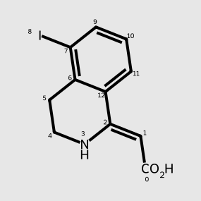 O=C(O)C=C1NCCc2c(I)cccc21